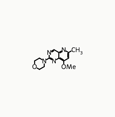 COc1cc(C)nc2cnc(N3CCOCC3)nc12